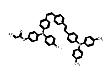 C=CC(=O)Oc1ccc(N(c2ccc(C)cc2)c2ccc(/C=C\c3ccc(C=Cc4ccc(N(c5ccc(C)cc5)c5ccc(C)cc5)cc4)cc3)cc2)cc1